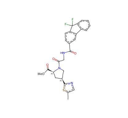 COC(=O)[C@@H]1C[C@H](c2ncc(C)s2)CN1C(=O)CNC(=O)c1ccc2c(c1)-c1ccccc1C2(F)F